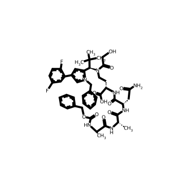 C[C@H](NC(=O)OCc1ccccc1)C(=O)N[C@@H](C)C(=O)N[C@@H](CC(N)=O)C(=O)N[C@@H](CCN(C(=O)CO)[C@@H](c1cc(-c2cc(F)ccc2F)cn1Cc1ccccc1)C(C)(C)C)C(=O)O